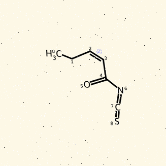 CC/C=C\C(=O)N=C=S